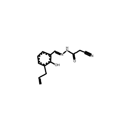 C=CCc1cccc(C=NNC(=O)CC#N)c1O